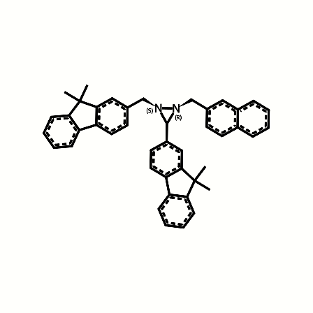 CC1(C)c2ccccc2-c2ccc(C[N@]3C(c4ccc5c(c4)C(C)(C)c4ccccc4-5)[N@]3Cc3ccc4ccccc4c3)cc21